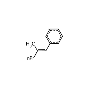 CCCC(C)=Cc1c[c]ccc1